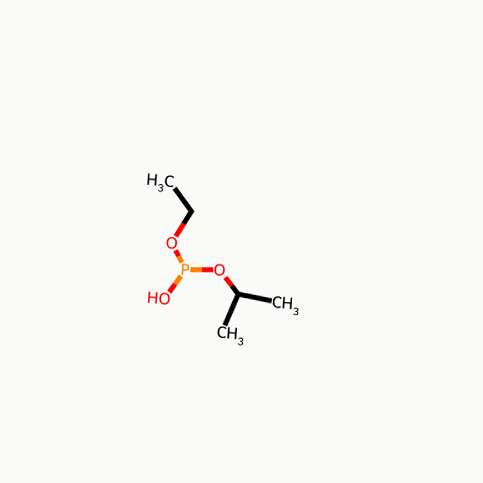 CCOP(O)OC(C)C